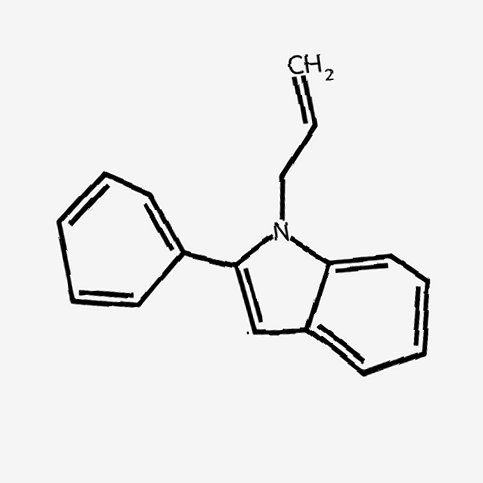 C=CCn1c(-c2ccccc2)[c]c2ccccc21